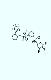 CC1(C)OB(c2ccccc2CNS(=O)(=O)c2cc(C(=O)Nc3cc(F)c(F)c(F)c3)ccc2F)OC1(C)C